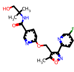 Cc1onc(-c2ccc(F)cn2)c1COc1ccc(C(=O)NC(C)(C)CO)cn1